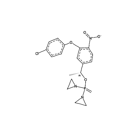 C=P(O[C@H](C)c1ccc([N+](=O)[O-])c(Oc2ccc(Cl)cc2)c1)(N1CC1)N1CC1